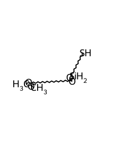 COC(CCCCCCCCCCCCCCCCC(=O)O[SiH2]CCCCCCCCCCS)OC